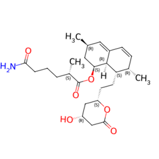 C[C@H]1C=C2C=C[C@H](C)[C@H](CC[C@H]3C[C@@H](O)CC(=O)O3)[C@H]2[C@@H](OC(=O)[C@@H](C)CCCC(N)=O)C1